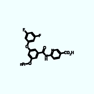 CCCOc1cc(Oc2cc(F)cc(F)c2)cc(C(=O)Nc2ccc(C(=O)O)cn2)c1